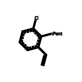 C=Cc1cccc(Cl)c1CCCCC